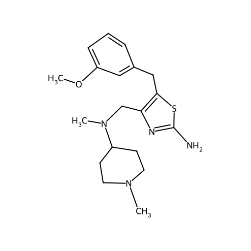 COc1cccc(Cc2sc(N)nc2CN(C)C2CCN(C)CC2)c1